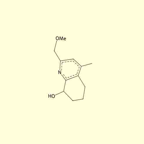 COCc1cc(C)c2c(n1)C(O)CCC2